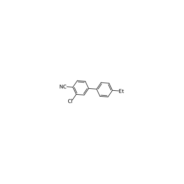 CCc1ccc(-c2ccc(C#N)c(Cl)c2)cc1